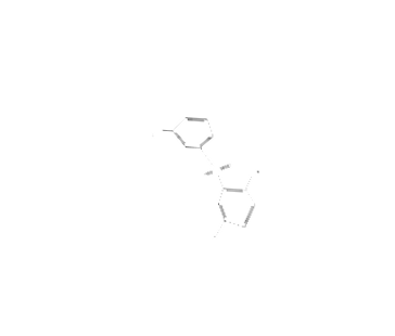 Cc1cccc(S(=O)(=O)c2cc(Cl)ccc2O)c1